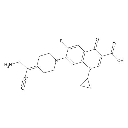 [C-]#[N+]C(CN)=C1CCN(c2cc3c(cc2F)c(=O)c(C(=O)O)cn3C2CC2)CC1